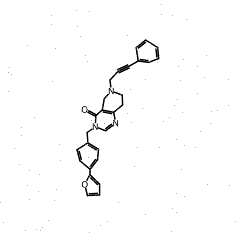 O=c1c2c(ncn1Cc1ccc(-c3ccco3)cc1)CCN(CC#Cc1ccccc1)C2